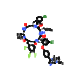 COC[C@@H]1NC(=O)[C@H](C)N(Cc2ccc(Cl)cc2Oc2ccc(-c3cnc(CN(C)C)n3C)cc2)C(=O)C[C@@H](Cc2ccc(F)c(F)c2F)C(=O)N(C)[C@@H](C)CNC(=O)C[C@H](Cc2ccc(Cl)cc2)N(C)C1=O